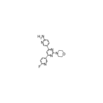 Nc1ccc(-c2cc(-c3ccc(F)nc3)nc(N3CCOCC3)n2)cn1